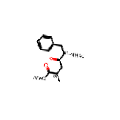 COC(=O)[C@H](C)CC(=O)[C@H](Cc1ccccc1)NC(C)=O